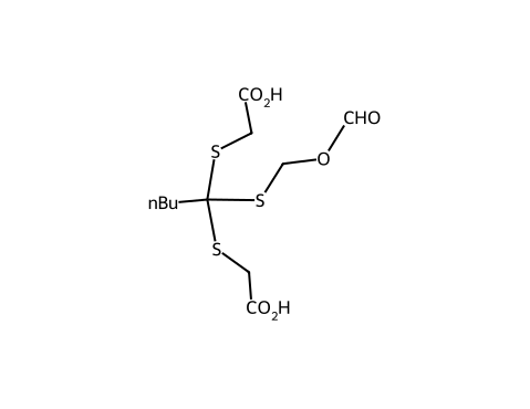 CCCCC(SCOC=O)(SCC(=O)O)SCC(=O)O